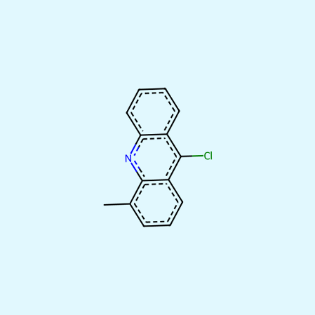 Cc1cccc2c(Cl)c3ccccc3nc12